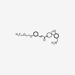 CCOCCOc1cccc(/C=C/C(=O)N2CCC3(CC2)COc2ccc(CN)cc23)c1